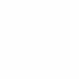 CC1OC(=O)C(C(=O)O)C1CC(=O)c1ccccc1